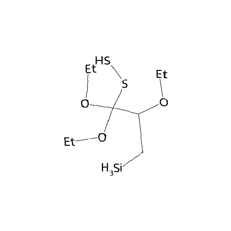 CCOC(C[SiH3])C(OCC)(OCC)SS